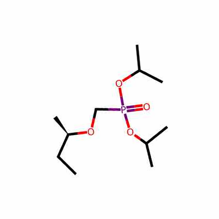 CC[C@@H](C)OCP(=O)(OC(C)C)OC(C)C